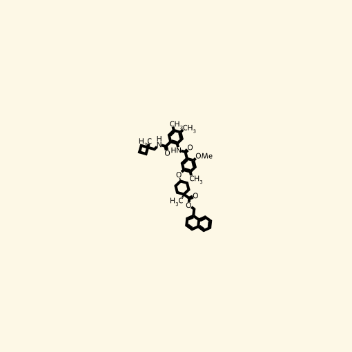 COc1cc(C)c(O[C@H]2CC[C@@](C)(C(=O)OCc3cccc4ccccc34)CC2)cc1C(=O)Nc1cc(C)c(C)cc1C(=O)NCC1(C)CCC1